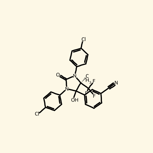 C[C@@]1(C(F)(F)F)N(c2ccc(Cl)cc2)C(=O)N(c2ccc(Cl)cc2)C1(O)c1cccc(C#N)c1